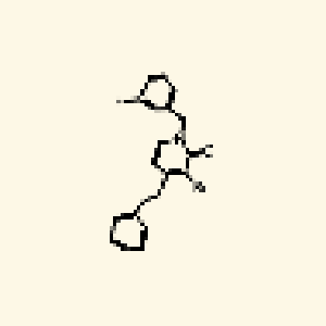 O=c1c(Br)c(CCc2ccccc2)ccn1Cc1cccc(F)c1